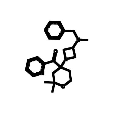 CN(Cc1ccccc1)C1CN(C2(C(=O)c3ccccn3)CCOC(C)(C)C2)C1